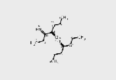 CCCC(=O)OCC.CCOC(=O)C(=N)CC